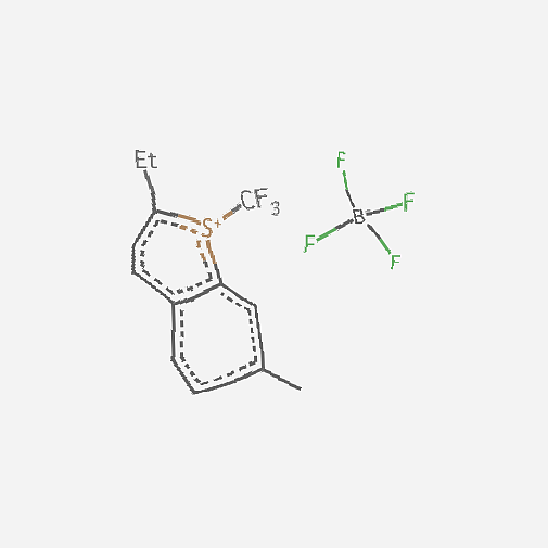 CCc1cc2ccc(C)cc2[s+]1C(F)(F)F.F[B-](F)(F)F